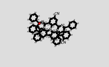 N#Cc1cc(-c2nc(-c3ccccc3)cc(-c3ccccc3)n2)c(-n2c3cc(-c4ccccc4C#N)ccc3c3ccc(-c4ccccc4C#N)cc32)c(-c2nc(-c3ccccc3)cc(-c3ccccc3)n2)c1